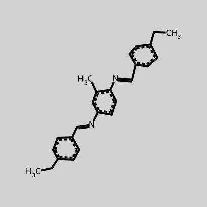 CCc1ccc(C=Nc2ccc(N=Cc3ccc(CC)cc3)c(C)c2)cc1